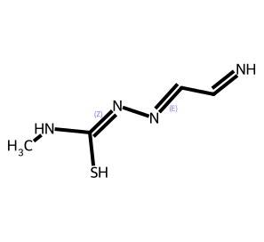 CN/C(S)=N/N=C/C=N